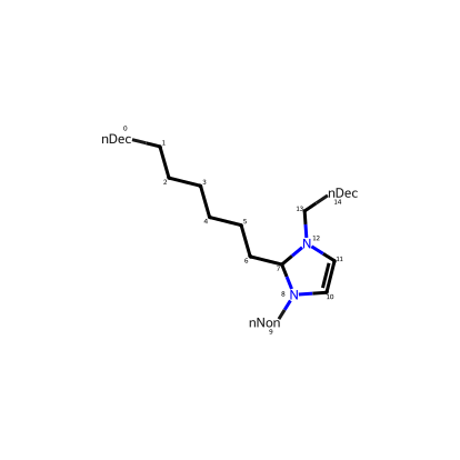 CCCCCCCCCCCCCCCCC1N(CCCCCCCCC)C=CN1CCCCCCCCCCC